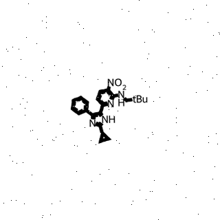 CC(C)(C)CNc1nc(-c2[nH]c(C3CC3)nc2-c2ccccc2)ccc1[N+](=O)[O-]